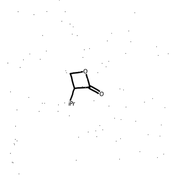 CC(C)C1COC1=O